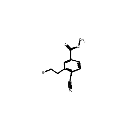 COC(=O)c1ccc(C#N)c(CCBr)c1